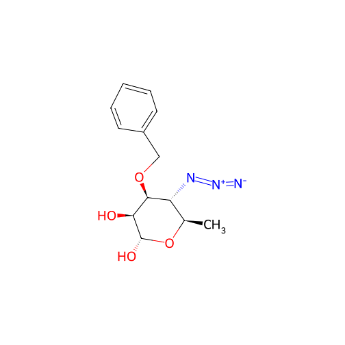 C[C@H]1O[C@H](O)[C@@H](O)[C@@H](OCc2ccccc2)[C@@H]1N=[N+]=[N-]